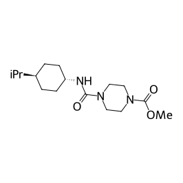 COC(=O)N1CCN(C(=O)N[C@H]2CC[C@H](C(C)C)CC2)CC1